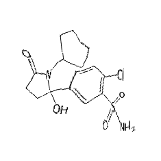 NS(=O)(=O)c1cc(C2(O)CCC(=O)N2C2CCCC2)ccc1Cl